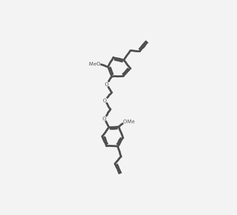 C=CCc1ccc(OCOCOc2ccc(CC=C)cc2OC)c(OC)c1